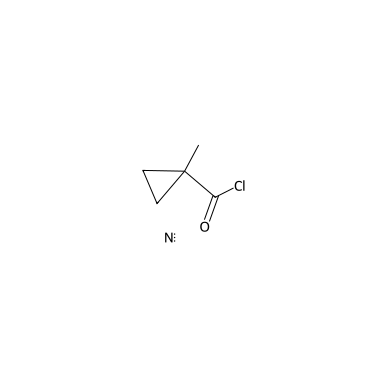 CC1(C(=O)Cl)CC1.[N]